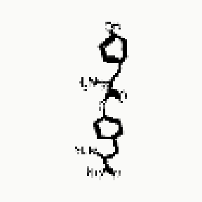 NC(Cc1ccc(OC(=O)[C@@H](N)Cc2ccc(O)cc2)cc1)C(=O)O